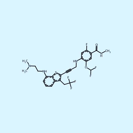 CNC(=O)c1cc(OC(F)F)c(NCC#Cc2sc3c(NCCN(C)C)cccc3c2CC(F)(F)F)cc1F